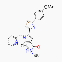 CCCCNC(=O)c1cc(-c2csc(-c3ccc(OC)cc3)n2)n(Cc2ccccn2)c1C